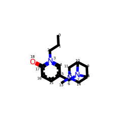 CCCn1cc(CN2C3CC2CN(C)C3)ccc1=O